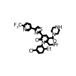 CCC1CC=C(Cl)C=C1n1c(CC(C)C)c(C(=O)N2CCNCC2)cc(-c2nc(-c3ccc(C(F)(F)F)nc3)cs2)c1=O